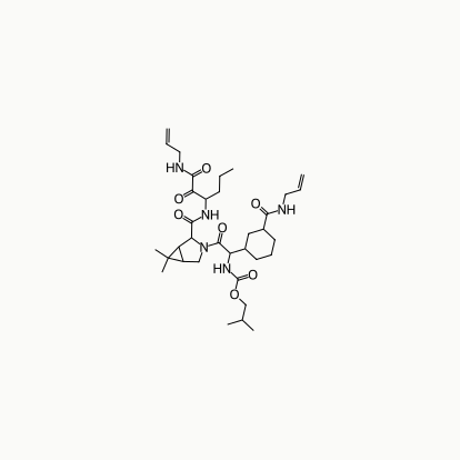 C=CCNC(=O)C(=O)C(CCC)NC(=O)C1C2C(CN1C(=O)C(NC(=O)OCC(C)C)C1CCCC(C(=O)NCC=C)C1)C2(C)C